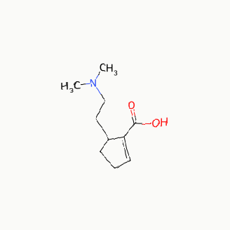 CN(C)CCC1CCC=C1C(=O)O